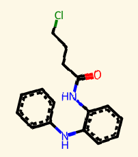 O=C(CCCCl)Nc1ccccc1Nc1ccccc1